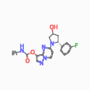 CC(C)NC(=O)Oc1cnn2ccc(N3C[C@@H](O)C[C@@H]3c3cccc(F)c3)nc12